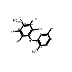 Cc1ccc(C(C)(C)C)c(Oc2c(F)c(F)c(S(=O)(=O)O)c(F)c2F)c1